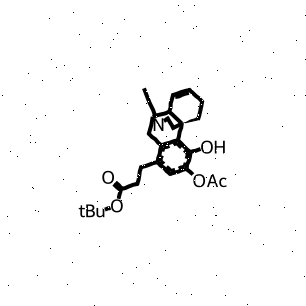 CC(=O)Oc1cc(CCC(=O)OC(C)(C)C)c2c(c1O)[C@@]13CCC=CC1C(C2)N(C)CC3